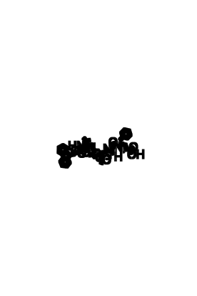 CC(=O)O[C@H](C[C@@H](C(C)C)N(C)C(=O)[C@@H](NC(=O)OCC1c2ccccc2-c2ccccc21)C(C)C)c1nc(C(=O)N[C@@H](Cc2ccccc2)C[C@@H](C)C(=O)O)cs1